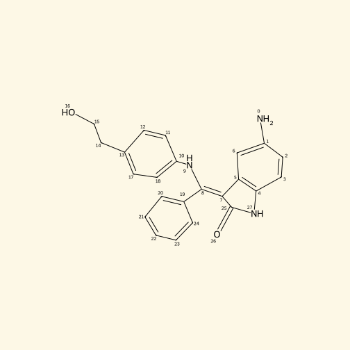 Nc1ccc2c(c1)C(=C(Nc1ccc(CCO)cc1)c1ccccc1)C(=O)N2